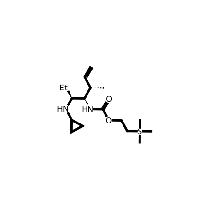 C=C[C@H](C)[C@H](NC(=O)OCCS(C)(C)C)[C@H](CC)NC1CC1